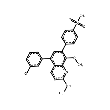 CNc1ncc2c(-c3cccc(Cl)c3)cc(-c3ccc(S(C)(=O)=O)cc3)c(OC)c2n1